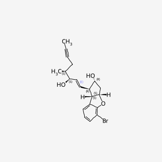 CC#CC[C@H](C)[C@H](O)/C=C/[C@@H]1[C@H]2c3cccc(Br)c3O[C@H]2C[C@H]1O